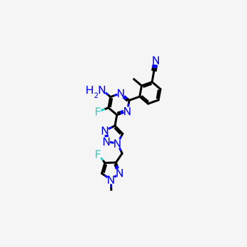 Cc1c(C#N)cccc1-c1nc(N)c(F)c(-c2cn(Cc3nn(C)cc3F)nn2)n1